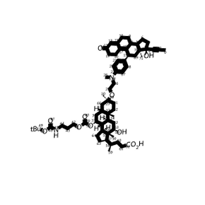 CC#C[C@@]1(O)CCC2C3CCC4=CC(=O)CCC4=C3[C@H](c3ccc(N(C)CCO[C@@]4(C)CC[C@@]5(C)[C@H](C[C@@H](OC(=O)OCCCNC(=O)OC(C)(C)C)[C@@H]6[C@@H]5C[C@H](O)[C@]5(C)[C@@H]([C@H](C)CCC(=O)O)CC[C@@H]65)C4)cc3)C[C@@]21C